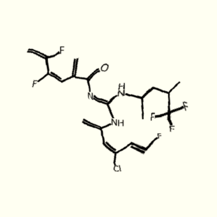 C=C(/C=C(Cl)\C=C\F)N/C(=N/C(=O)C(=C)/C=C(/F)C(=C)F)NC(C)CC(C)C(F)(F)F